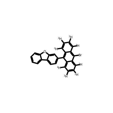 [2H]c1c([2H])c([2H])c2c(-c3ccc4c(c3)oc3ccccc34)c3c([2H])c([2H])c([2H])c([2H])c3c(Br)c2c1[2H]